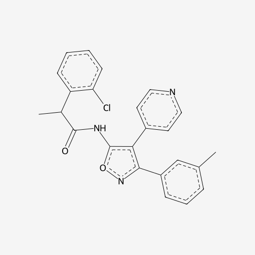 Cc1cccc(-c2noc(NC(=O)C(C)c3ccccc3Cl)c2-c2ccncc2)c1